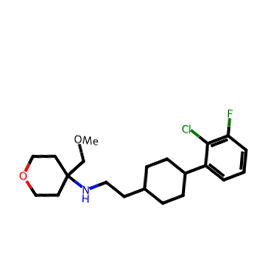 COCC1(NCCC2CCC(c3cccc(F)c3Cl)CC2)CCOCC1